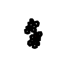 c1ccc(-c2ccccc2N(c2ccc3c(c2)-c2ccccc2C32c3ccccc3Sc3cc4ccccc4cc32)c2ccc3c(c2)C2(c4ccccc4Oc4ccccc42)c2ccccc2-3)cc1